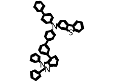 c1ccc(-c2ccc(N(c3ccc(-c4cccc(-c5cccc6nc(-c7ccccc7)n(-c7ccccc7)c56)c4)cc3)c3ccc4c(c3)sc3ccccc34)cc2)cc1